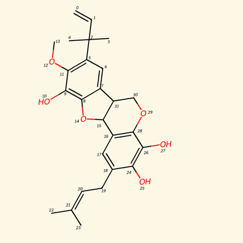 C=CC(C)(C)c1cc2c(c(O)c1OC)OC1c3cc(CC=C(C)C)c(O)c(O)c3OCC21